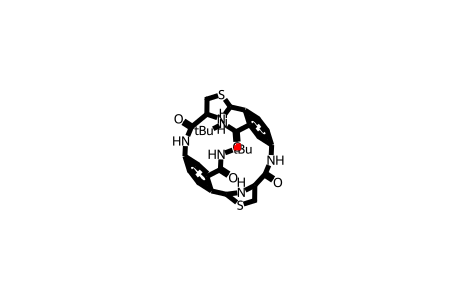 CC(C)(C)NC(=O)c1cc2ccc1C1NC(CS1)C(=O)Nc1ccc(c(C(=O)NC(C)(C)C)c1)C1NC(CS1)C(=O)N2